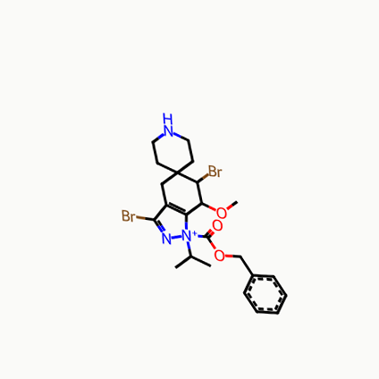 COC1C2=C(CC3(CCNCC3)C1Br)C(Br)=N[N+]2(C(=O)OCc1ccccc1)C(C)C